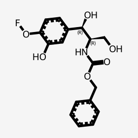 O=C(N[C@H](CO)[C@H](O)c1ccc(OF)c(O)c1)OCc1ccccc1